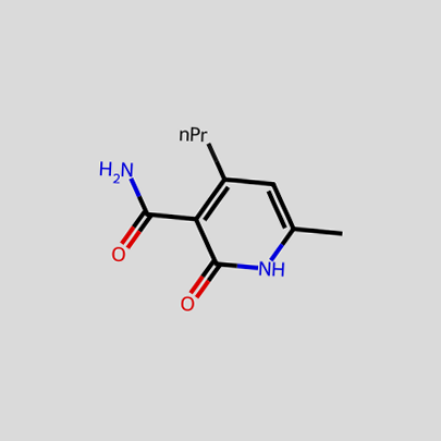 CCCc1cc(C)[nH]c(=O)c1C(N)=O